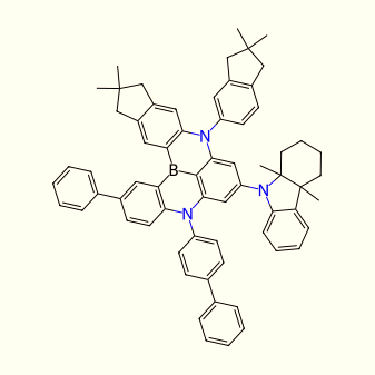 CC1(C)Cc2ccc(N3c4cc5c(cc4B4c6cc(-c7ccccc7)ccc6N(c6ccc(-c7ccccc7)cc6)c6cc(N7c8ccccc8C8(C)CCCCC78C)cc3c64)CC(C)(C)C5)cc2C1